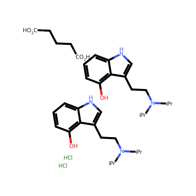 CC(C)N(CCc1c[nH]c2cccc(O)c12)C(C)C.CC(C)N(CCc1c[nH]c2cccc(O)c12)C(C)C.Cl.Cl.O=C(O)CCCC(=O)O